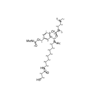 CNC(=O)OCc1ccc(OC(=O)N(C)CCN(C)C)c(CN(CCCCCCCCNC(=O)CCS)C(C)=O)c1